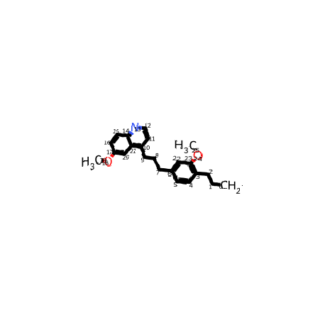 [CH2]CCc1ccc(CCCc2ccnc3ccc(OC)cc23)cc1OC